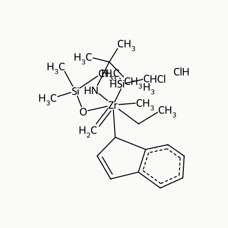 Cl.Cl.[CH2]=[Zr]([CH3])([CH2]C)([NH]C(C)(C)C)([O][Si](C)(C)C)([CH]1C=Cc2ccccc21)[SiH](C)C